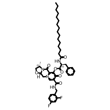 CCCCCCCCCCCCCCCC(=O)N[C@@H](Cc1ccccc1)C(=O)Oc1c2n(cc(C(=O)NCc3ccc(F)cc3F)c1=O)C[C@H]1OC[C@H](C)N1C2=O